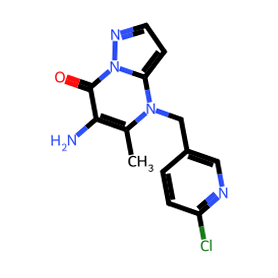 Cc1c(N)c(=O)n2nccc2n1Cc1ccc(Cl)nc1